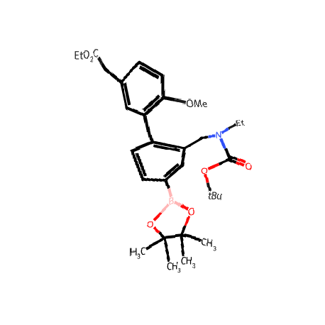 CCOC(=O)Cc1ccc(OC)c(-c2ccc(B3OC(C)(C)C(C)(C)O3)cc2CN(CC)C(=O)OC(C)(C)C)c1